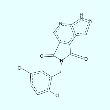 O=C1c2cnc3[nH]ncc3c2C(=O)N1Cc1cc(Cl)ccc1Cl